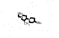 C[C@H]1CN(CC(C)(C)C)CCC1N1CCC(C(C)(C)C)CC1